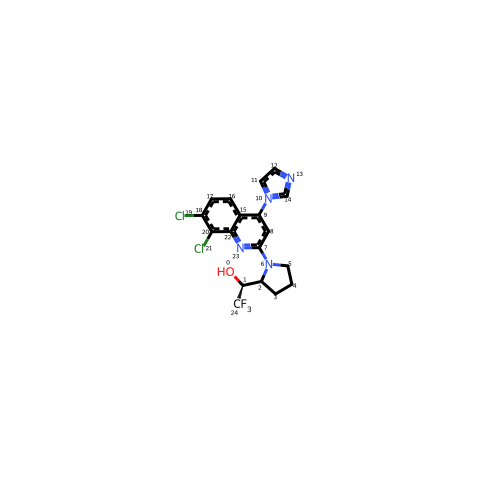 O[C@@H](C1CCCN1c1cc(-n2ccnc2)c2ccc(Cl)c(Cl)c2n1)C(F)(F)F